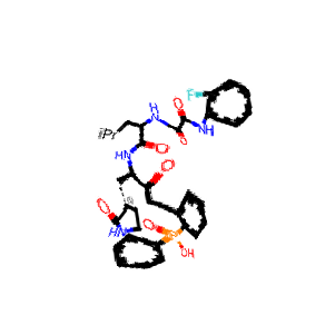 CC(C)CC(NC(=O)C(=O)Nc1ccccc1F)C(=O)NC(C[C@@H]1CCNC1=O)C(=O)Cc1ccccc1P(=O)(O)c1ccccc1